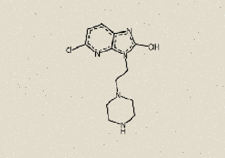 Oc1nc2ccc(Cl)nc2n1CCN1CCNCC1